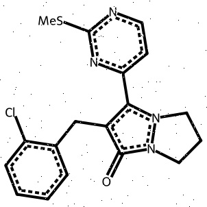 CSc1nccc(-c2c(Cc3ccccc3Cl)c(=O)n3n2CCC3)n1